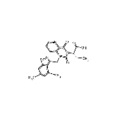 CC[C@@H](C(=O)O)n1c(=O)c2ncccc2n(Cc2nsc3cc(C)cc(C)c23)c1=O